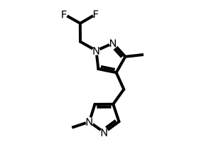 Cc1nn(CC(F)F)cc1Cc1cnn(C)c1